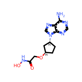 Nc1ncnc2c1ncn2[C@@H]1CC[C@@H](OCC(=O)NO)C1